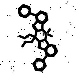 CCCC1(CCC)C2=Cc3c(-c4ccccc4)cccc3[CH]2[Hf]([CH3])([CH3])[CH]2C1=Cc1c(-c3ccccc3)cccc12